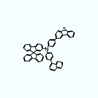 c1ccc2c(c1)-c1ccccc1C21c2ccccc2-c2ccc(N(c3ccc(-c4ccc5sc6ccccc6c5c4)cc3)c3ccc(-c4cccc5ccccc45)cc3)cc21